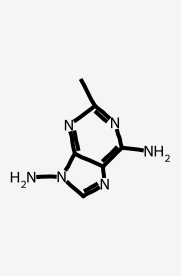 Cc1nc(N)c2ncn(N)c2n1